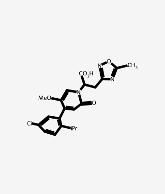 COc1cn(C(Cc2noc(C)n2)C(=O)O)c(=O)cc1-c1cc(Cl)ccc1C(C)C